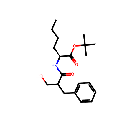 CCCC[C@H](NC(=O)C(CO)Cc1ccccc1)C(=O)OC(C)(C)C